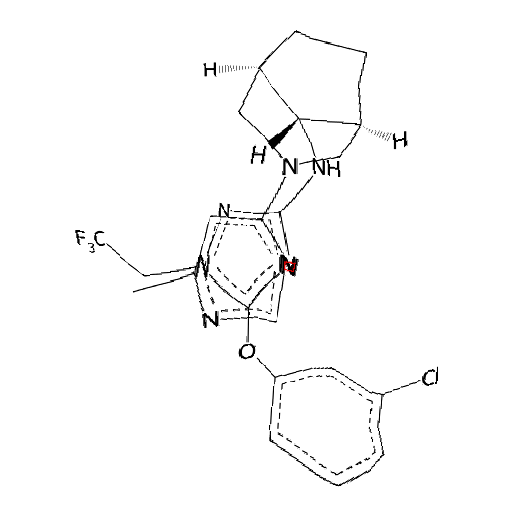 Cc1cc(N2C[C@H]3CC[C@@H](C2)[C@@H]3Nc2nc(Oc3cccc(Cl)c3)n(CC(F)(F)F)n2)ncn1